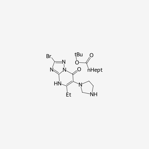 CCCCCCCC(=O)OC(C)(C)C.CCc1[nH]c2nc(Br)nn2c(=O)c1N1CCNC1